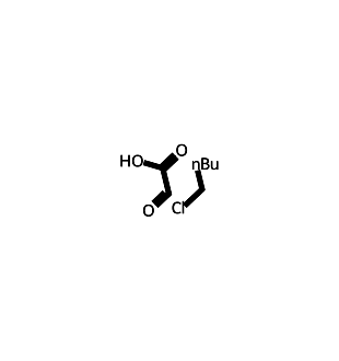 CCCCCCl.O=CC(=O)O